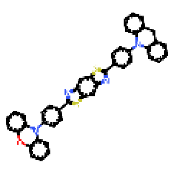 c1ccc2c(c1)Cc1ccccc1N2c1ccc(-c2nc3cc4sc(-c5ccc(N6c7ccccc7Oc7ccccc76)cc5)nc4cc3s2)cc1